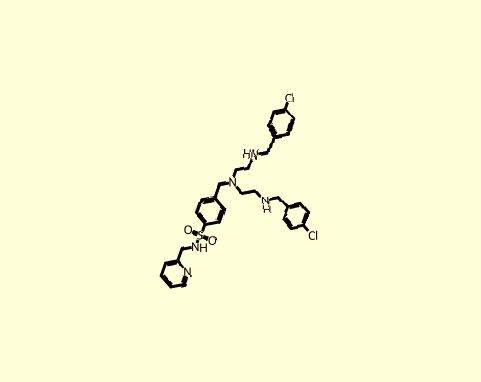 O=S(=O)(NCc1ccccn1)c1ccc(CN(CCNCc2ccc(Cl)cc2)CCNCc2ccc(Cl)cc2)cc1